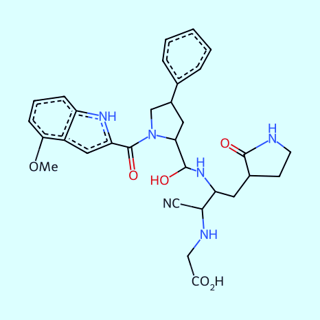 COc1cccc2[nH]c(C(=O)N3CC(c4ccccc4)CC3C(O)NC(CC3CCNC3=O)C(C#N)NCC(=O)O)cc12